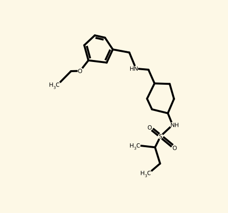 CCOc1cccc(CNCC2CCC(NS(=O)(=O)C(C)CC)CC2)c1